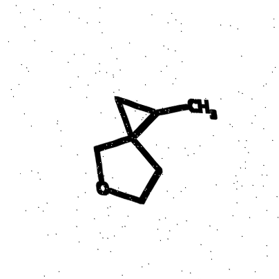 CC1CC12CCOC2